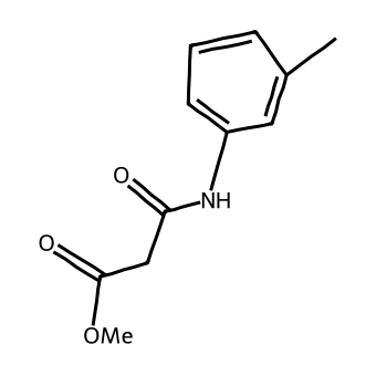 COC(=O)CC(=O)Nc1cccc(C)c1